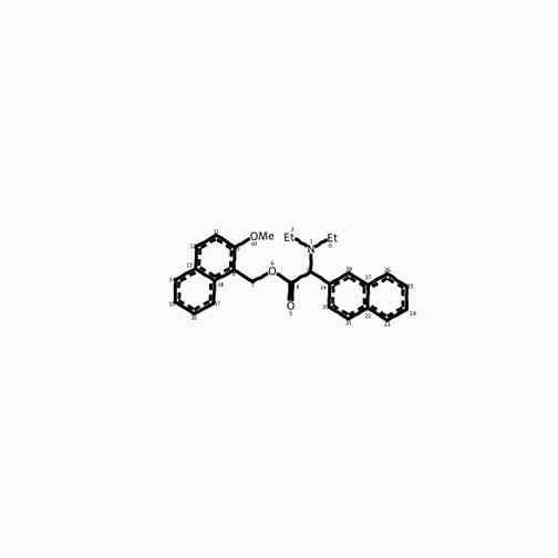 CCN(CC)C(C(=O)OCc1c(OC)ccc2ccccc12)c1ccc2ccccc2c1